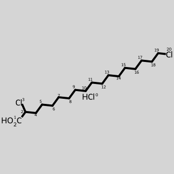 Cl.O=C(O)C(Cl)CCCCCCCCCCCCCCCCCl